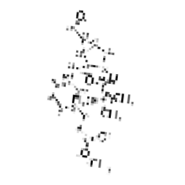 COC(=O)CCc1cccc(CC2(OC(=O)C(C)(C)C)CCC3C(C=O)C32)c1